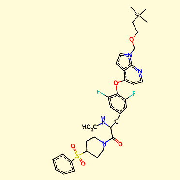 C[Si](C)(C)CCOCn1ccc2c(Oc3c(F)cc(CC(NC(=O)O)C(=O)N4CCC(S(=O)(=O)c5ccccc5)CC4)cc3F)ccnc21